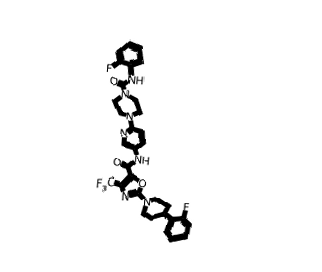 O=C(Nc1ccc(N2CCN(C(=O)Nc3ccccc3F)CC2)nc1)c1oc(N2CCC(c3ccccc3F)CC2)nc1C(F)(F)F